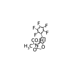 CC(C(=O)O)N1C(=O)COc2ccc(-c3c(F)c(F)c(F)c(F)c3F)cc21